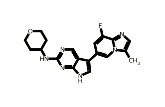 Cc1cnc2c(F)cc(-c3c[nH]c4nc(NC5CCOCC5)ncc34)cn12